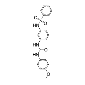 COc1ccc(NC(=O)Nc2cccc(NS(=O)(=O)c3ccccc3)c2)cc1